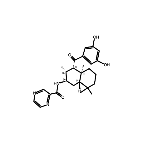 C[C@H]1[C@H](NC(=O)c2cnccn2)C[C@H]2C(C)(C)CCC[C@]2(C)[C@H]1C(=O)c1cc(O)cc(O)c1